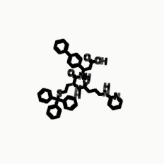 O=C(O)CC(NC(=O)[C@H](CCSC(c1ccccc1)(c1ccccc1)c1ccccc1)NC(=O)CCCNc1ccccn1)c1ccc(-c2ccccc2)cc1